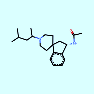 CC(=O)N[C@H]1CC2(CCN(C(C)CC(C)C)CC2)c2ccccc21